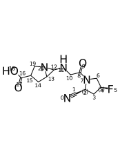 N#C[C@@H]1C[C@H](F)CN1C(=O)CNC1C2CC(C(=O)O)CN21